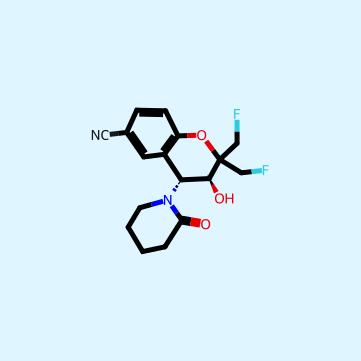 N#Cc1ccc2c(c1)[C@@H](N1CCCCC1=O)[C@H](O)C(CF)(CF)O2